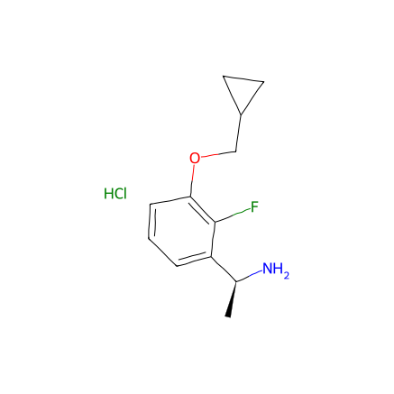 C[C@H](N)c1cccc(OCC2CC2)c1F.Cl